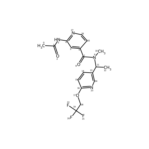 CC(=O)Nc1cc(C(=O)N(C)C(C)c2ccc(OCC(F)(F)F)nc2)ccn1